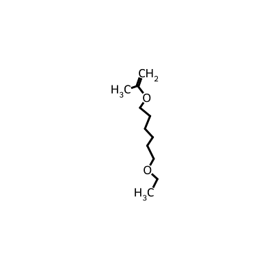 C=C(C)OCCCCCCOCC